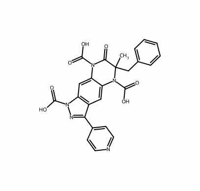 CC1(Cc2ccccc2)C(=O)N(C(=O)O)c2cc3c(cc2N1C(=O)O)c(-c1ccncc1)nn3C(=O)O